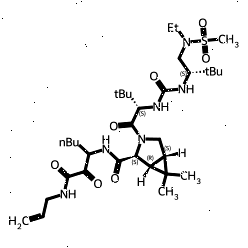 C=CCNC(=O)C(=O)C(CCCC)NC(=O)[C@@H]1[C@@H]2[C@H](CN1C(=O)[C@@H](NC(=O)N[C@H](CN(CC)S(C)(=O)=O)C(C)(C)C)C(C)(C)C)C2(C)C